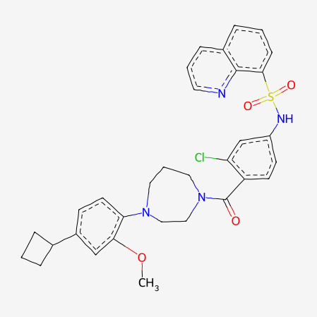 COc1cc(C2CCC2)ccc1N1CCCN(C(=O)c2ccc(NS(=O)(=O)c3cccc4cccnc34)cc2Cl)CC1